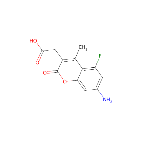 Cc1c(CC(=O)O)c(=O)oc2cc(N)cc(F)c12